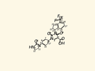 O=C(O)c1cn(-c2ccc(N3CCNC3=O)cc2)c(=O)n(C2CCc3c2cccc3C(F)(F)F)c1=O